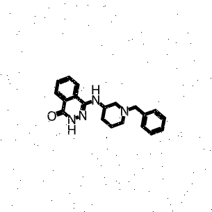 O=c1[nH]nc(NC2CCCN(Cc3ccccc3)C2)c2ccccc12